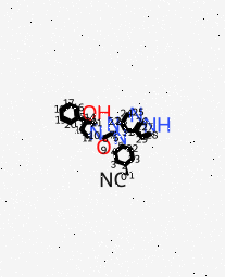 N#CC[C@H]1CC[C@H](n2c(C(=O)N3CCC(O)(c4ccccc4)C3)nc3cnc4[nH]ccc4c32)CC1